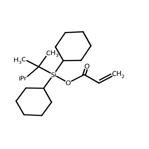 C=CC(=O)O[Si](C1CCCCC1)(C1CCCCC1)C(C)(C)C(C)C